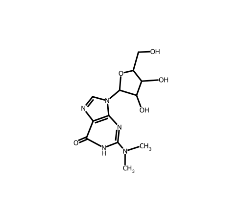 CN(C)c1nc2c(ncn2C2OC(CO)C(O)C2O)c(=O)[nH]1